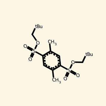 Cc1cc(S(=O)(=O)OCC(C)(C)C)c(C)cc1S(=O)(=O)OCC(C)(C)C